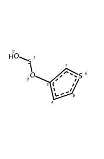 OSOc1ccsc1